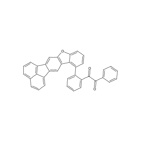 O=C(C(=O)c1ccccc1-c1cccc2oc3cc4c(cc3c12)-c1cccc2cccc-4c12)c1ccccc1